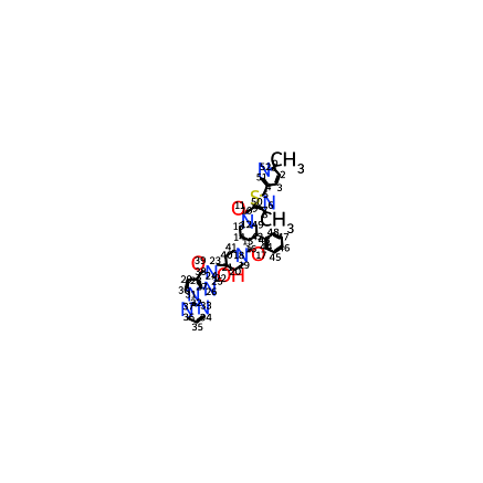 Cc1ccc(-c2nc(C)c(C(=O)N3CC[C@@H](C(=O)N4CCC(O)(Cn5cnc6c(ccn6-c6ncccn6)c5=O)CC4)[C@H](c4ccccc4)C3)s2)cn1